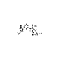 CCCCCCc1sc2c(CCCCCC)c(-c3ccnc(-c4cc(C(F)(F)F)n[nH]4)c3)sc2c1CCCCCC